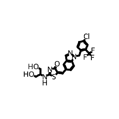 O=C1N=C(NC(CO)CO)SC1=Cc1ccc2c(cnn2Cc2ccc(Cl)cc2C(F)(F)F)c1